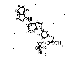 CC(=O)O[C@H]1C[C@H](n2ccc3c(N[C@H]4CCc5ccccc54)ncnc32)C[C@H]1COS(N)(=O)=O